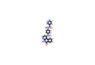 O=C(Nc1ccc(Nc2ccnc3[nH]c(=O)c4ccccc4c23)cc1)c1cccnc1